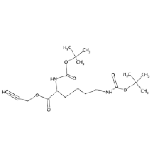 C#CCOC(=O)C(CCCCNC(=O)OC(C)(C)C)NC(=O)OC(C)(C)C